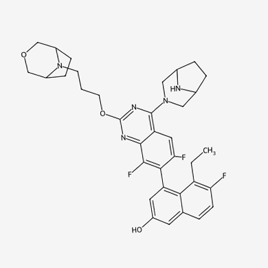 CCc1c(F)ccc2cc(O)cc(-c3c(F)cc4c(N5CC6CCC(C5)N6)nc(OCCCN5C6CCC5COC6)nc4c3F)c12